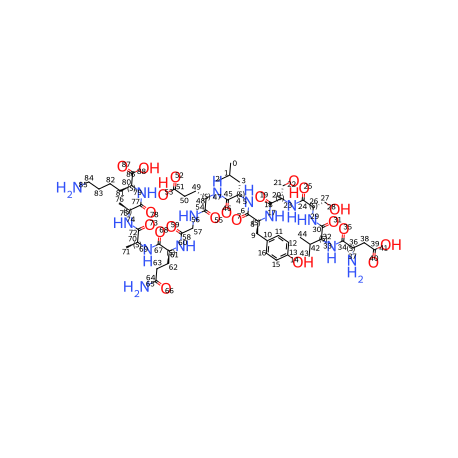 CC(C)C[C@H](NC(=O)[C@H](Cc1ccc(O)cc1)NC(=O)[C@H](CO)NC(=O)[C@H](CO)NC(=O)[C@@H](NC(=O)[C@@H](N)CC(=O)O)C(C)C)C(=O)N[C@@H](CCC(=O)O)C(=O)NCC(=O)N[C@@H](CCC(N)=O)C(=O)N[C@@H](C)C(=O)N[C@@H](C)C(=O)N[C@@H](CCCCN)C(=O)O